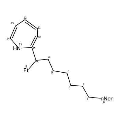 CCCCCCCCCCCCCCCC(CC)C1=CC=CC=CN1